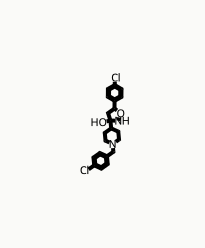 OC1(C2CCN(Cc3ccc(Cl)cc3)CC2)CC(c2ccc(Cl)cc2)ON1